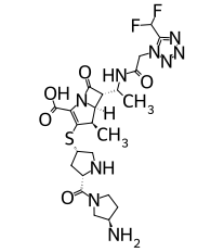 CC(NC(=O)Cn1nnnc1C(F)F)[C@H]1C(=O)N2C(C(=O)O)=C(S[C@@H]3CN[C@H](C(=O)N4CC[C@@H](N)C4)C3)[C@H](C)[C@H]12